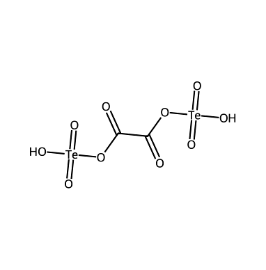 O=C(O[Te](=O)(=O)O)C(=O)O[Te](=O)(=O)O